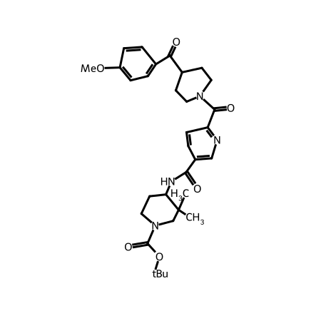 COc1ccc(C(=O)C2CCN(C(=O)c3ccc(C(=O)NC4CCN(C(=O)OC(C)(C)C)CC4(C)C)cn3)CC2)cc1